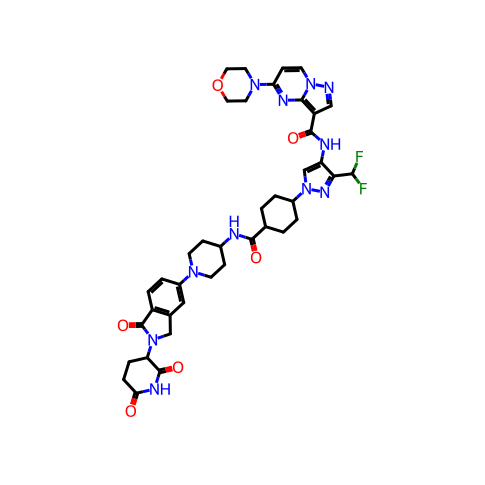 O=C1CCC(N2Cc3cc(N4CCC(NC(=O)C5CCC(n6cc(NC(=O)c7cnn8ccc(N9CCOCC9)nc78)c(C(F)F)n6)CC5)CC4)ccc3C2=O)C(=O)N1